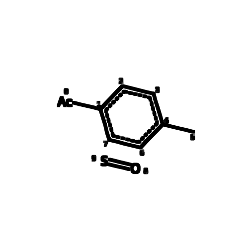 CC(=O)c1ccc(C)cc1.O=S